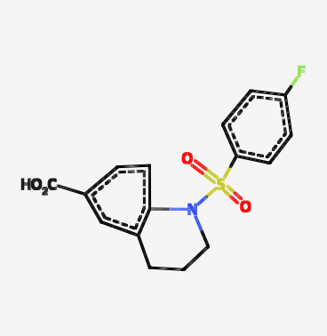 O=C(O)c1ccc2c(c1)CCCN2S(=O)(=O)c1ccc(F)cc1